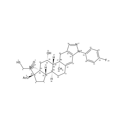 CC(=O)O[C@]1(C(=O)CS)CC[C@H]2[C@@H]3CCC4=Cc5c(cnn5-c5ccc(F)cc5)C[C@]4(C)[C@H]3[C@@H](O)C[C@@]21C